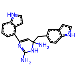 NC1=NC(c2cccc3[nH]ccc23)=CC(N)(Cc2ccc3[nH]ccc3c2)N1